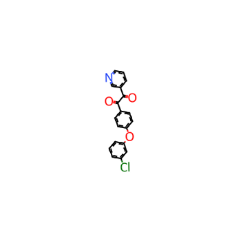 O=C(C(=O)c1cccnc1)c1ccc(Oc2cccc(Cl)c2)cc1